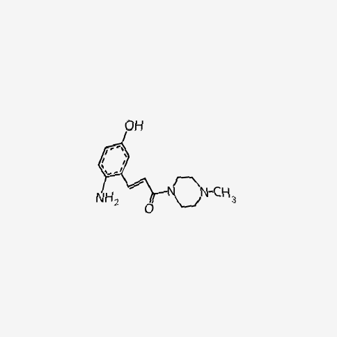 CN1CCN(C(=O)C=Cc2cc(O)ccc2N)CC1